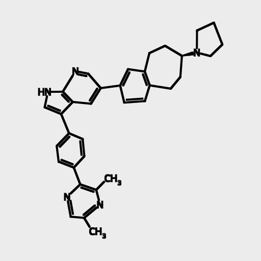 Cc1cnc(-c2ccc(-c3c[nH]c4ncc(-c5ccc6c(c5)CC[C@@H](N5CCCC5)CC6)cc34)cc2)c(C)n1